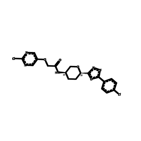 O=C(COc1cnc(Cl)nc1)N[C@@H]1CC[C@@H](c2nnc(-c3ccc(Cl)cc3)o2)OC1